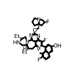 CC[C@@H]1CN2c3nc(OC[C@@]45CCCN4C[C@H](F)C5)nc4c(F)c(-c5cc(O)cc6ccc(F)c(C)c56)[n+](C)c(c34)C[C@@H](CC)[C@H]2CN1